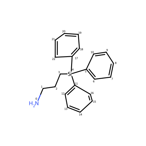 NCCC[Si](c1ccccc1)(c1ccccc1)c1ccccc1